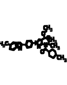 CCOC(=O)c1cn(-c2ccc(-c3cn4cc(C)ccc4n3)cc2)nc1N(C(=O)[C@H]1CC[C@H](C)CC1)C(C)C